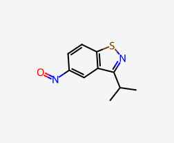 CC(C)c1nsc2ccc(N=O)cc12